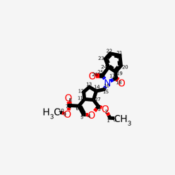 CCOC1OC=C(C(=O)OC)C2CCC(CN3C(=O)c4ccccc4C3=O)C12